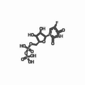 O=c1[nH]c(=O)n([C@H]2O[C@@H](COP(=O)(O)OP(=O)(O)O)C(O)C2O)cc1F